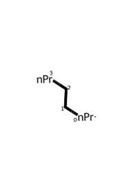 [CH2]C[CH]CCCC[CH2]